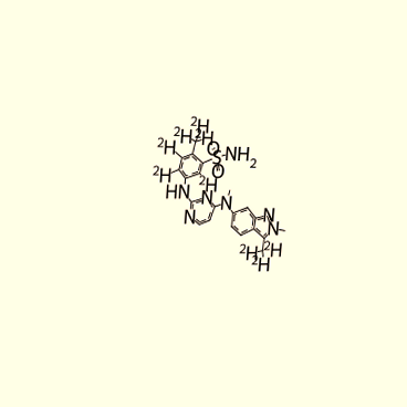 [2H]c1c([2H])c(C([2H])([2H])[2H])c(S(N)(=O)=O)c([2H])c1Nc1nccc(N(C)c2ccc3c(C([2H])([2H])[2H])n(C)nc3c2)n1